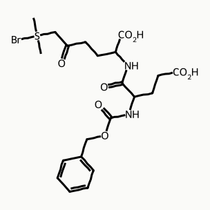 CS(C)(Br)CC(=O)CCC(NC(=O)C(CCC(=O)O)NC(=O)OCc1ccccc1)C(=O)O